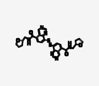 O=C(NCC1CCCO1)c1ccc(SSc2ccc(C(=O)NCC3CCCO3)c3cncnc23)c2ncncc12